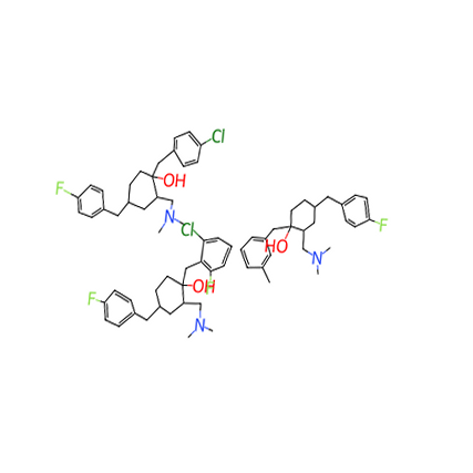 CN(C)CC1CC(Cc2ccc(F)cc2)CCC1(O)Cc1c(F)cccc1Cl.CN(C)CC1CC(Cc2ccc(F)cc2)CCC1(O)Cc1ccc(Cl)cc1.Cc1cccc(CC2(O)CCC(Cc3ccc(F)cc3)CC2CN(C)C)c1